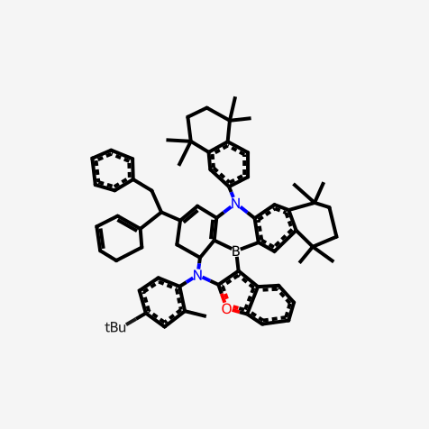 Cc1cc(C(C)(C)C)ccc1N1c2oc3ccccc3c2B2C3=C(C=C(C(Cc4ccccc4)C4=CC=CCC4)CC31)N(c1ccc3c(c1)C(C)(C)CCC3(C)C)c1cc3c(cc12)C(C)(C)CCC3(C)C